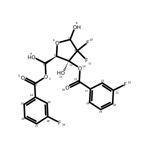 O=C(OC(O)[C@H]1OC(O)C(F)(F)[C@@]1(O)OC(=O)c1cccc(F)c1)c1cccc(F)c1